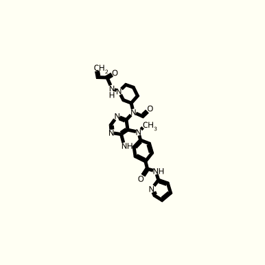 C=CC(=O)NN1CCCC(N(C=O)c2ncnc(N)c2N(C)c2ccc(C(=O)Nc3ccccn3)cc2)C1